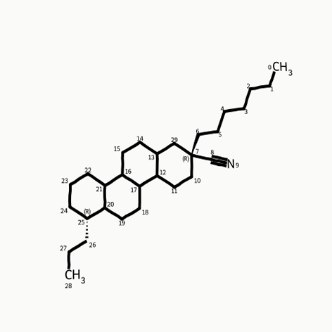 CCCCCCC[C@@]1(C#N)CCC2C(CCC3C2CCC2C3CCC[C@H]2CCC)C1